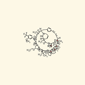 CCO[C@@H]1C[C@H]2C(=O)NC3(CC(C)(C)C3)C(=O)N(C)[C@@H](C3CCCC3)C(=O)N(C)[C@H](C(=O)N3CCCCC3)CC(=O)N(C)[C@H]3CCCCc4ccc(cc4)C[C@@H](C(=O)N(C)CC(=O)N[C@@H](CCc4ccc(C(F)(F)F)c(OC)c4)C(=O)N2C1)N1CC/C=C\C[C@@H](C1=O)N(C)C(=O)CN(C)C(=O)[C@H]([C@@H](C)CC)NC3=O